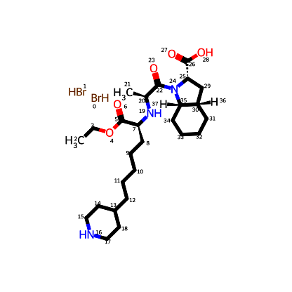 Br.Br.CCOC(=O)[C@H](CCCCCC1CCNCC1)N[C@@H](C)C(=O)N1[C@H](C(=O)O)C[C@@H]2CCCC[C@@H]21